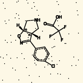 Clc1ccc(C2=NO[C@@H]3CNC[C@H]23)cc1.O=C(O)C(F)(F)F